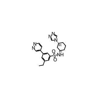 CCc1cc(-c2ccnnc2)cc(S(=O)(=O)N[C@H]2CCC[C@@H](n3cnnc3)C2)c1